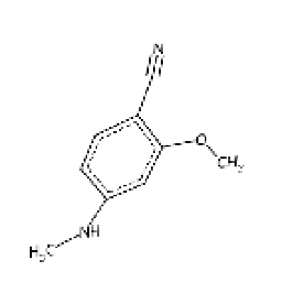 CNc1ccc(C#N)c(OC)c1